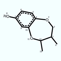 CC1COc2ccc(O)cc2OC1C